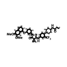 C=CC(=O)NC1CCN(c2ccc(NC(=O)C3(C(=O)Nc4cccc(Oc5ccnc6cc(OC)c(OC)cc56)c4)CC3)cc2C(F)(F)F)CC1